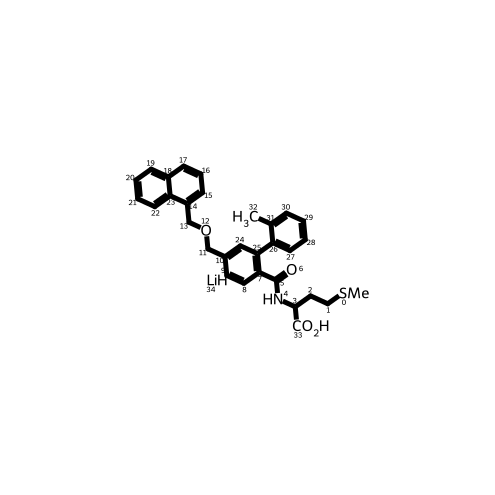 CSCCC(NC(=O)c1ccc(COCc2cccc3ccccc23)cc1-c1ccccc1C)C(=O)O.[LiH]